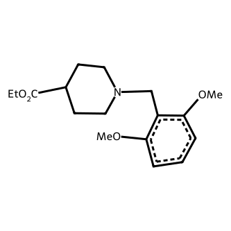 CCOC(=O)C1CCN(Cc2c(OC)cccc2OC)CC1